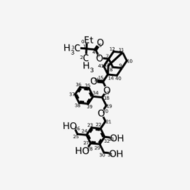 CCC(C)(C)C(=O)OC12CC3CC(C1)CC(C(=O)OC(COCc1cc(CO)c(O)c(CO)c1O)c1ccccc1)(C3)C2